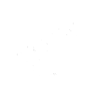 COc1ccc2c(c1)C(=CC(=O)c1ccc(N(C)C)cc1)NC(C)(C)C2